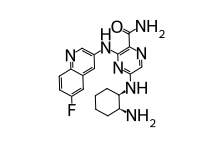 NC(=O)c1ncc(N[C@@H]2CCCC[C@@H]2N)nc1Nc1cnc2ccc(F)cc2c1